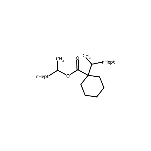 CCCCCCCC(C)OC(=O)C1(C(C)CCCCCCC)CCCCC1